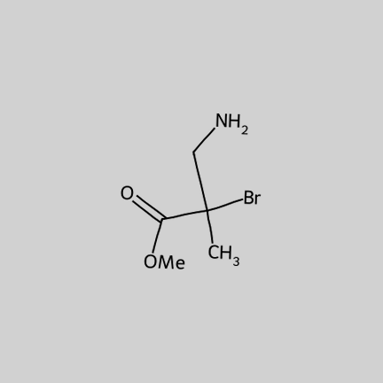 COC(=O)C(C)(Br)CN